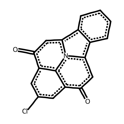 O=c1cc2c3ccccc3c3cc(=O)c4cc(Cl)cc1c4n23